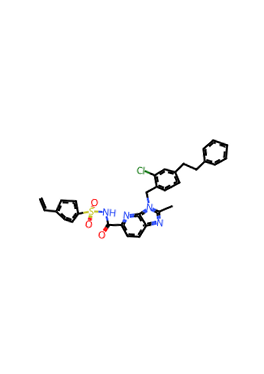 C=Cc1ccc(S(=O)(=O)NC(=O)c2ccc3nc(C)n(Cc4ccc(CCc5ccccc5)cc4Cl)c3n2)cc1